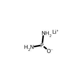 NP(N)[O-].[Li+]